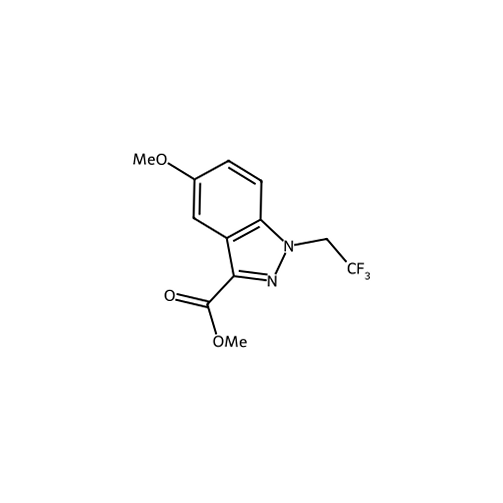 COC(=O)c1nn(CC(F)(F)F)c2ccc(OC)cc12